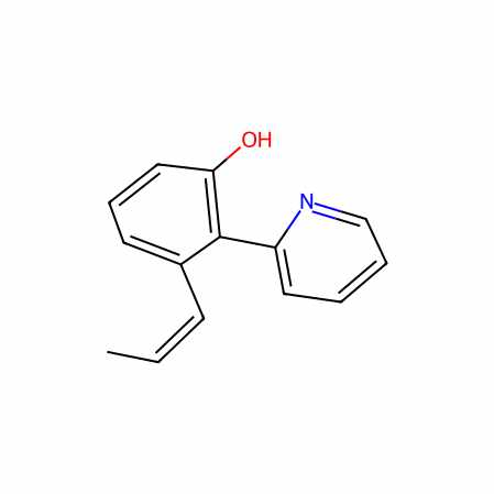 C/C=C\c1cccc(O)c1-c1ccccn1